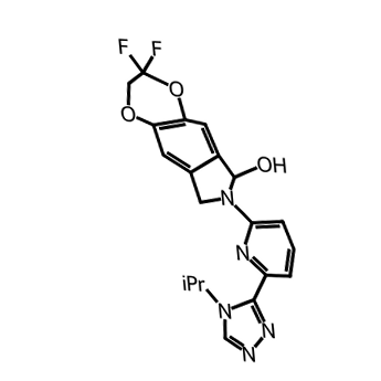 CC(C)n1cnnc1-c1cccc(N2Cc3cc4c(cc3C2O)OC(F)(F)CO4)n1